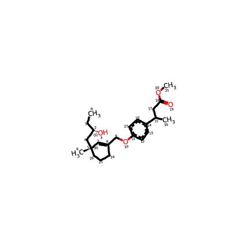 CC[C@H](O)C[C@]1(C)C=C(COc2ccc(C(C)CC(=O)OC)cc2)CCC1